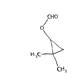 CC1(C)CC1OC=O